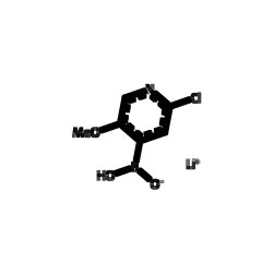 COc1cnc(Cl)cc1B([O-])O.[Li+]